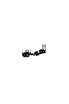 [O-][NH+]1c2ccccc2CCC1CCCCN1CCN(c2ccc3[nH]ccc3c2)CC1